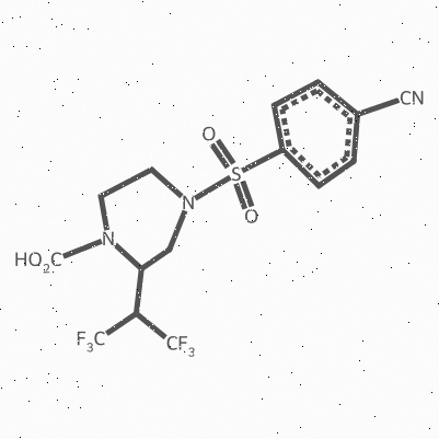 N#Cc1ccc(S(=O)(=O)N2CCN(C(=O)O)C(C(C(F)(F)F)C(F)(F)F)C2)cc1